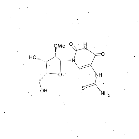 CO[C@@H]1[C@@H](O)[C@@H](CO)O[C@H]1n1cc(NC(N)=S)c(=O)[nH]c1=O